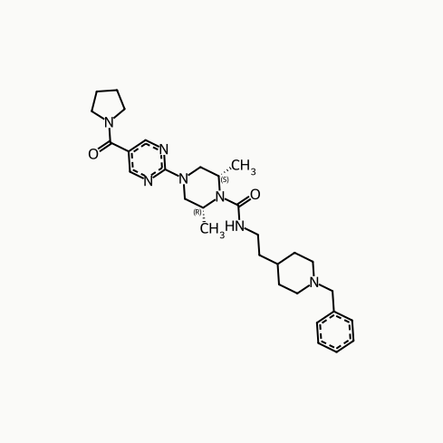 C[C@@H]1CN(c2ncc(C(=O)N3CCCC3)cn2)C[C@H](C)N1C(=O)NCCC1CCN(Cc2ccccc2)CC1